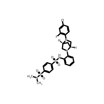 CN(C)S(=O)(=O)c1ccc(S(=O)(=O)Nc2ccccc2N2C[C@H]3C[C@@H]2CN3c2ccc(Cl)cc2F)cc1